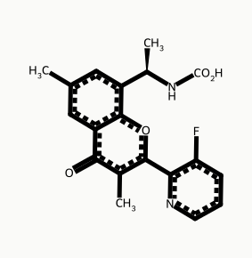 Cc1cc([C@@H](C)NC(=O)O)c2oc(-c3ncccc3F)c(C)c(=O)c2c1